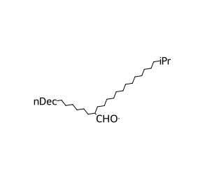 CCCCCCCCCCCCCCCCC([C]=O)CCCCCCCCCCCCCC(C)C